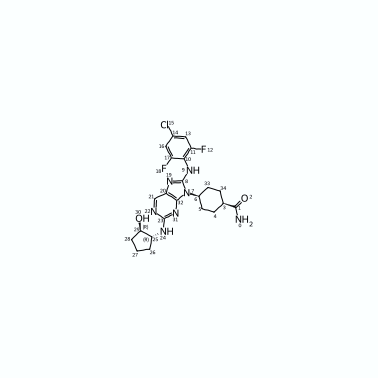 NC(=O)[C@H]1CC[C@@H](n2c(Nc3c(F)cc(Cl)cc3F)nc3cnc(N[C@@H]4CCC[C@H]4O)nc32)CC1